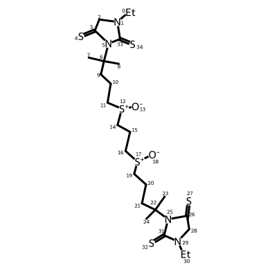 CCN1CC(=S)N(C(C)(C)CCC[S+]([O-])CCC[S+]([O-])CCCC(C)(C)N2C(=S)CN(CC)C2=S)C1=S